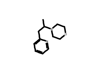 CC(Cc1c[c]ccn1)N1CCOCC1